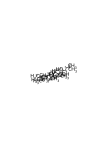 CC(C)CC[C@@H](O)[C@](C)(O)[C@H]1CC[C@H]2[C@@H]3CC=C4C[C@@H](O[Si](C)(C)C(C)(C)C)CC[C@]4(C)[C@H]3CC[C@]12C